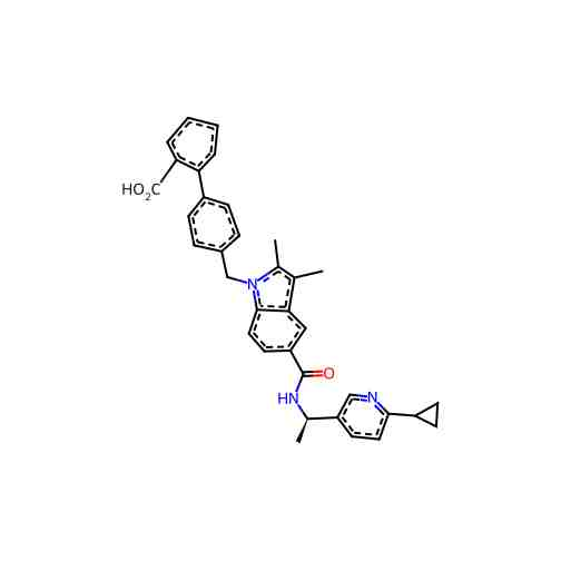 Cc1c(C)n(Cc2ccc(-c3ccccc3C(=O)O)cc2)c2ccc(C(=O)N[C@H](C)c3ccc(C4CC4)nc3)cc12